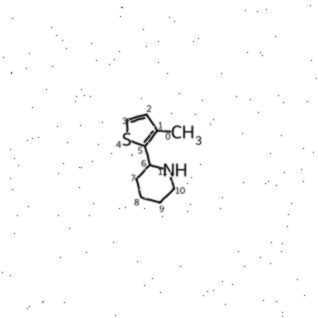 Cc1ccsc1C1CCCCN1